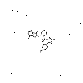 CC1=NC(C(=O)N2CCCC[C@H]2Cc2nc3c(F)cccn3c2C)C(c2ccc(F)cc2)S1